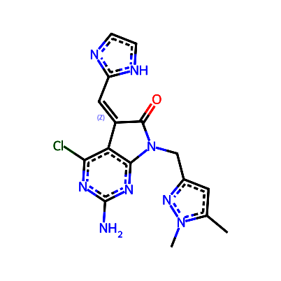 Cc1cc(CN2C(=O)/C(=C\c3ncc[nH]3)c3c(Cl)nc(N)nc32)nn1C